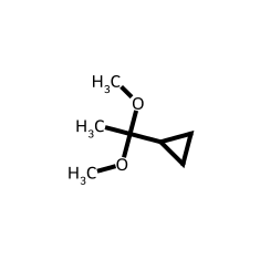 COC(C)(OC)C1CC1